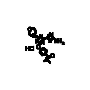 CN(C)C(=O)c1ccc(Oc2nc(-c3cnc(N)s3)nc(N3CCOCC3)n2)cc1.Cl